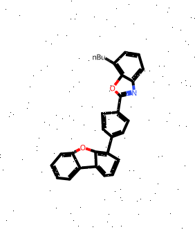 CCCCc1cccc2nc(-c3ccc(-c4cccc5c4oc4ccccc45)cc3)oc12